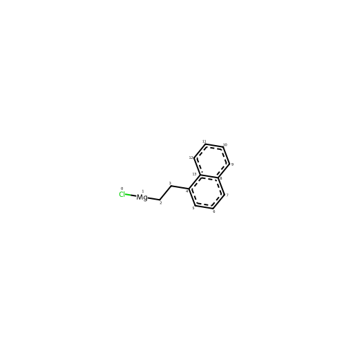 [Cl][Mg][CH2]Cc1cccc2ccccc12